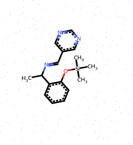 CC(N=Cc1cncnc1)c1ccccc1O[Si](C)(C)C